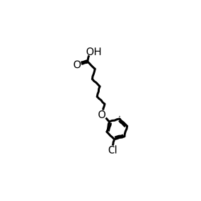 O=C(O)CCCCCOc1[c]ccc(Cl)c1